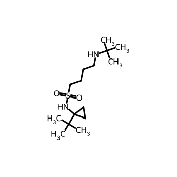 CC(C)(C)NCCCCS(=O)(=O)NC1(C(C)(C)C)CC1